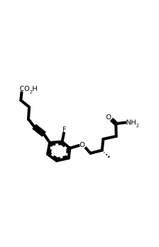 C[C@@H](CCC(N)=O)COc1cccc(C#CCCCC(=O)O)c1F